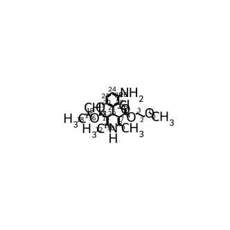 COCCOC(=O)C1=C(C)NC(C)=C(C(=O)OC(C)C)C1c1cccc(N)c1Cl